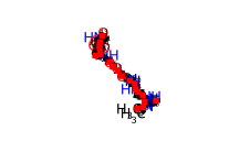 CCC(CC)c1cc(N[C@H]2CC[C@H](NCc3cn(CCOCCOCCOCCNc4cccc5c4C(=O)N(C4CCC(=O)NC4=O)C5=O)nn3)C2)n2nccc2n1